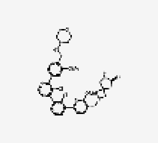 COc1cc(-c2nccc(-c3cccc(-c4ccc(CN5CC6(CNC(=O)C6)C5)c(OC)n4)c3Cl)c2Cl)ccc1CNC1CCOCC1